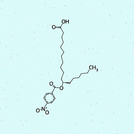 CCCCCC[C@H](CCCCCCCCCCC(=O)O)OC(=O)c1ccc([N+](=O)[O-])cc1